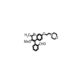 CO/C(=C(/c1ccc(OCCN2CCOCC2)cc1)c1ccccc1C=O)C(C)Br